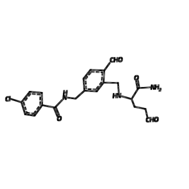 NC(=O)C(CCC=O)NCc1cc(CNC(=O)c2ccc(Cl)cc2)ccc1C=O